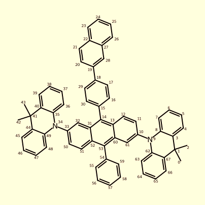 CC1(C)c2ccccc2N(c2ccc3c(-c4ccc(-c5ccc6ccccc6c5)cc4)c4cc(N5c6ccccc6C(C)(C)c6ccccc65)ccc4c(-c4ccccc4)c3c2)c2ccccc21